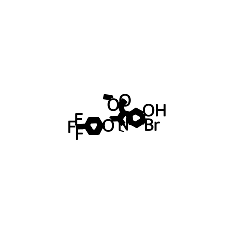 CCOC(=O)c1c(COc2ccc(C(F)(F)F)cc2)n(C)c2cc(Br)c(O)cc12